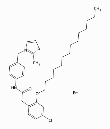 CCCCCCCCCCCCCCOc1cc(Cl)ccc1CC(=O)Nc1ccc(C[n+]2ccsc2C)cc1.[Br-]